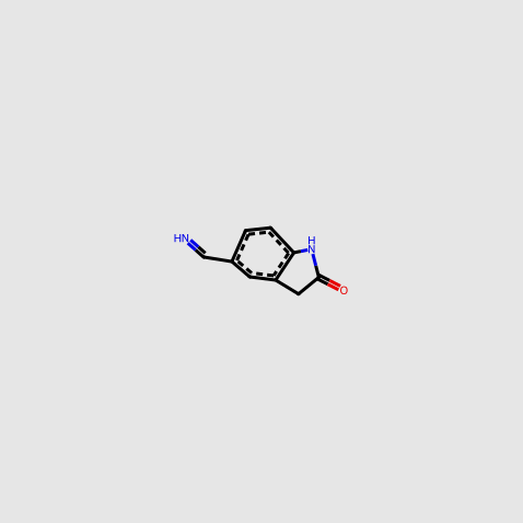 N=Cc1ccc2c(c1)CC(=O)N2